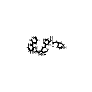 O=C(CC1CCNCC1)Nc1cncc(-c2cc3c(-c4nc5c(-c6cccnc6)nccc5[nH]4)n[nH]c3cn2)c1